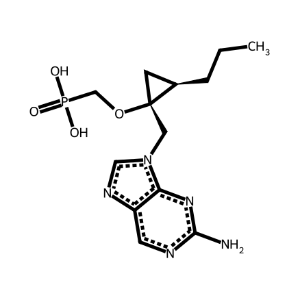 CCC[C@@H]1C[C@@]1(Cn1cnc2cnc(N)nc21)OCP(=O)(O)O